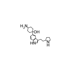 NC1CCC(O)(c2ccc3[nH]cc(CCC4CCCN4)c3c2)CC1